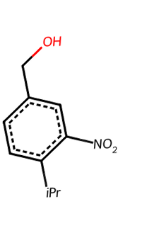 CC(C)c1ccc(CO)cc1[N+](=O)[O-]